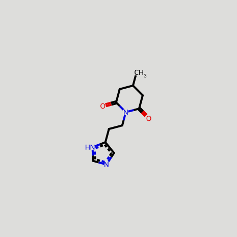 CC1CC(=O)N(CCc2cnc[nH]2)C(=O)C1